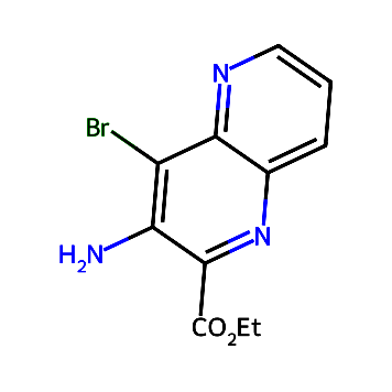 CCOC(=O)c1nc2cccnc2c(Br)c1N